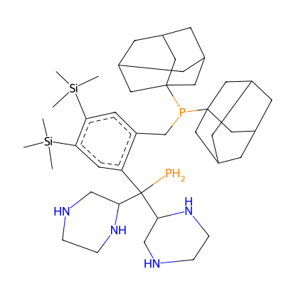 C[Si](C)(C)c1cc(CP(C23CC4CC(CC(C4)C2)C3)C23CC4CC(CC(C4)C2)C3)c(C(P)(C2CNCCN2)C2CNCCN2)cc1[Si](C)(C)C